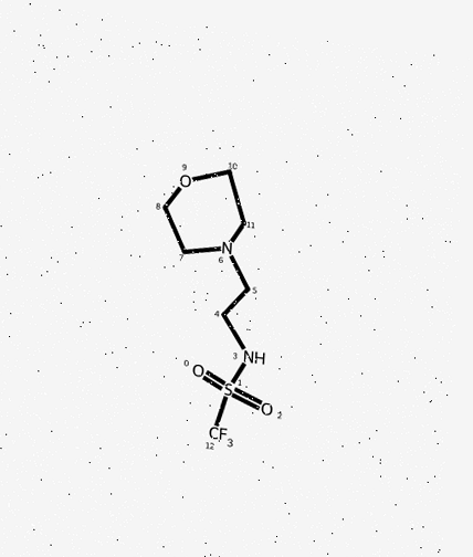 O=S(=O)(NCCN1CCOCC1)C(F)(F)F